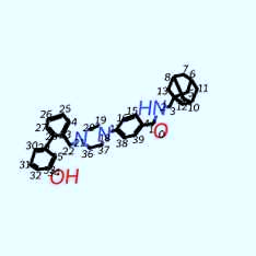 O=C(NCC12CC3CC(CC(C3)C1)C2)c1ccc(N2CCN(Cc3ccccc3-c3cccc(O)c3)CC2)cc1